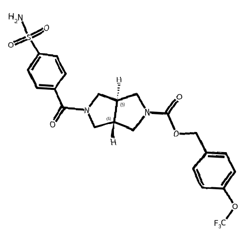 NS(=O)(=O)c1ccc(C(=O)N2C[C@H]3CN(C(=O)OCc4ccc(OC(F)(F)F)cc4)C[C@@H]3C2)cc1